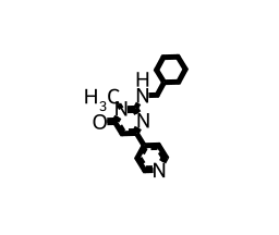 Cn1c(NCC2CCCCC2)nc(-c2ccncc2)cc1=O